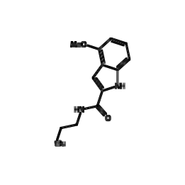 COc1cccc2[nH]c(C(=O)NCCC(C)(C)C)cc12